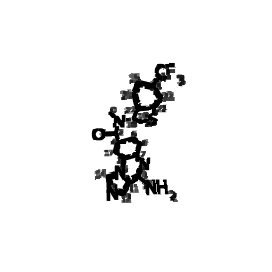 CN(C(=O)c1ccc2nc(N)c3cncn3c2c1)[C@H]1CSc2cc(C(F)(F)F)ccc21